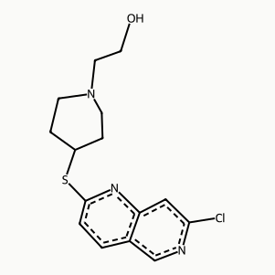 OCCN1CCC(Sc2ccc3cnc(Cl)cc3n2)CC1